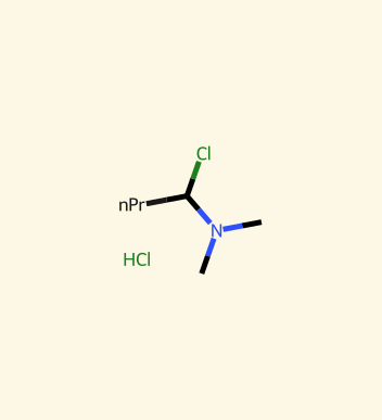 CCCC(Cl)N(C)C.Cl